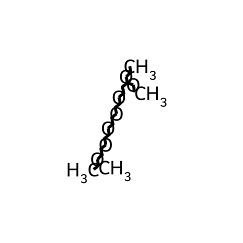 CCOC(CCOCCOCCOCCOCCOC(C)C)OCC